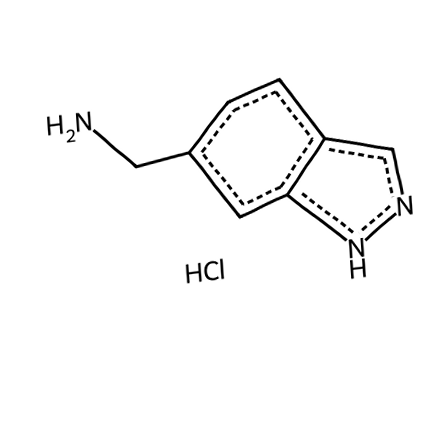 Cl.NCc1ccc2cn[nH]c2c1